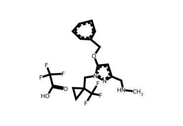 CNCc1cc(OCc2ccccc2)n(CC2(C(F)(F)F)CC2)n1.O=C(O)C(F)(F)F